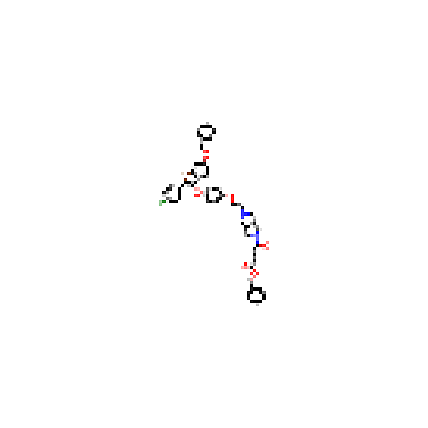 O=C(CCC(=O)N1CC2CN(CCOc3ccc(Oc4c(-c5ccc(F)cc5)sc5cc(OCc6ccccc6)ccc45)cc3)CC2C1)OCc1ccccc1